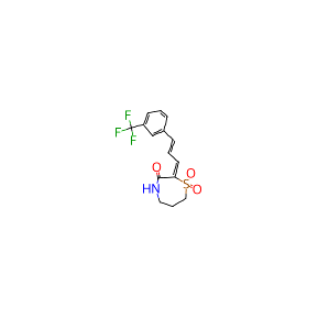 O=C1NCCCS(=O)(=O)/C1=C/C=C/c1cccc(C(F)(F)F)c1